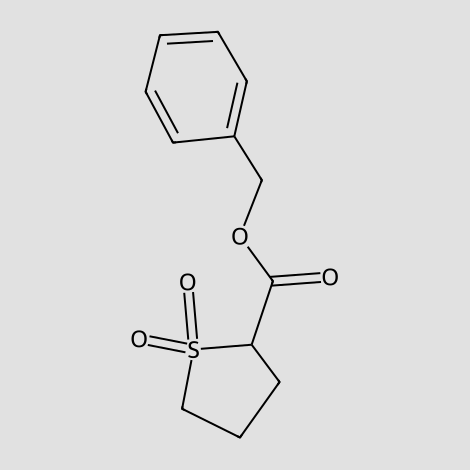 O=C(OCc1ccccc1)C1CCCS1(=O)=O